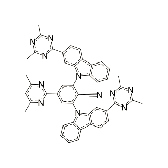 Cc1cc(C)nc(-c2cc(-n3c4ccccc4c4ccc(-c5nc(C)nc(C)n5)cc43)c(C#N)c(-n3c4ccccc4c4ccc(-c5nc(C)nc(C)n5)cc43)c2)n1